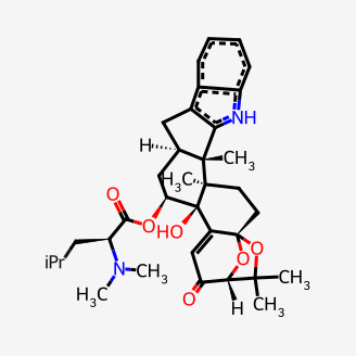 CC(C)C[C@@H](C(=O)O[C@H]1C[C@H]2Cc3c([nH]c4ccccc34)[C@]2(C)[C@@]2(C)CC[C@@]34O[C@@H](C(=O)C=C3[C@]12O)C(C)(C)O4)N(C)C